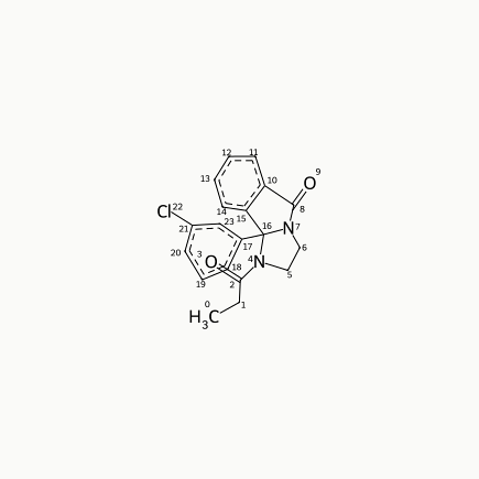 CCC(=O)N1CCN2C(=O)c3ccccc3C12c1cccc(Cl)c1